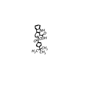 CC(C)(C)c1ccc(S(=O)(=O)N2CCc3c([nH]c4ccccc34)C2C(=O)O)cc1